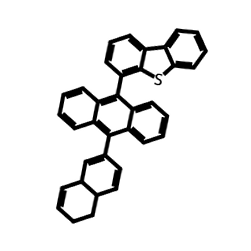 C1=CC2C=C(c3c4ccccc4c(-c4cccc5c4sc4ccccc45)c4ccccc34)C=CC2CC1